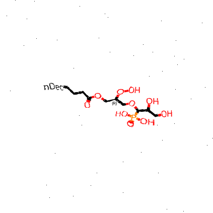 CCCCCCCCCCCCCC(=O)OC[C@H](COC(C(O)CO)P(=O)(O)O)OO